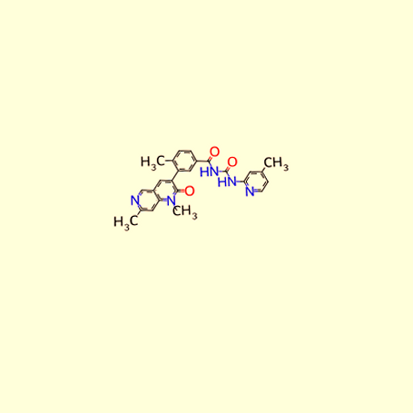 Cc1ccnc(NC(=O)NC(=O)c2ccc(C)c(-c3cc4cnc(C)cc4n(C)c3=O)c2)c1